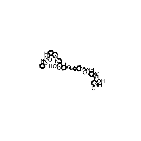 Cc1c(OCC2CC3(CCN(CC(=O)Nc4ccc5c(C6CCC(=O)NC6O)nn(C)c5c4)CC3)C2)cccc1-c1ccc(N2CCc3cccc(C(=O)Nc4nc5ccccc5s4)c3C2)nc1C(=O)O